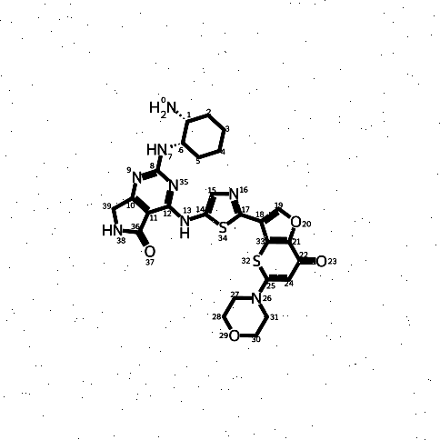 N[C@@H]1CCCC[C@@H]1Nc1nc2c(c(Nc3cnc(-c4coc5c(=O)cc(N6CCOCC6)sc45)s3)n1)C(=O)NC2